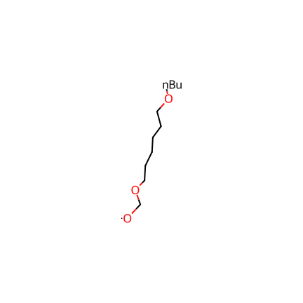 CCCCOCCCCCCOC[O]